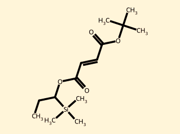 CCC(OC(=O)C=CC(=O)OC(C)(C)C)[Si](C)(C)C